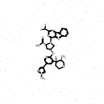 C[C@H]1COCC[C@]1(F)c1cc(-c2cnn(C)c2)cnc1O[C@H]1C[C@@H](C(=O)O)N(c2nc(C(F)F)nc3c2oc2ccccc23)C1